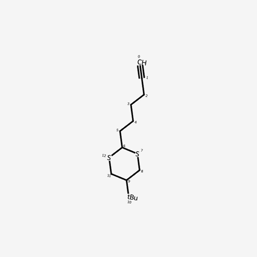 C#CCCCCC1SCC(C(C)(C)C)CS1